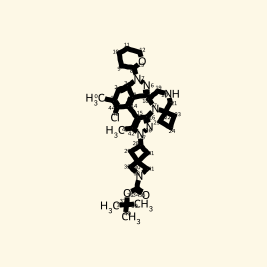 Cc1cc2c(cnn2C2CCCCO2)c(-c2c(N3CCNCC34CCC4)nn(C3CC4(C3)CN(C(=O)OC(C)(C)C)C4)c2C)c1Cl